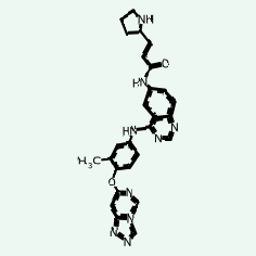 Cc1cc(Nc2ncnc3ccc(NC(=O)C=CC4CCCN4)cc23)ccc1Oc1cc2nncn2cn1